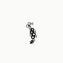 CC(C)(C)[Si](C)(C)OC1CC[C@@]2(C)[C@@H](CC[C@@H]3[C@@H]2CC[C@]2(C)[C@@H](OCC(=O)O)CC[C@@H]32)C1